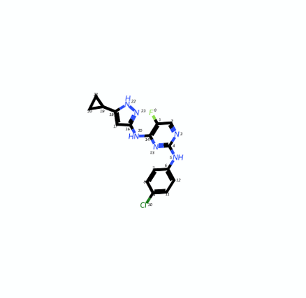 Fc1cnc(Nc2ccc(Cl)cc2)nc1Nc1cc(C2CC2)[nH]n1